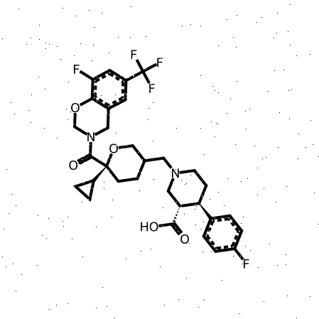 O=C(O)[C@@H]1CN(CC2CC[C@@](C(=O)N3COc4c(F)cc(C(F)(F)F)cc4C3)(C3CC3)OC2)CC[C@H]1c1ccc(F)cc1